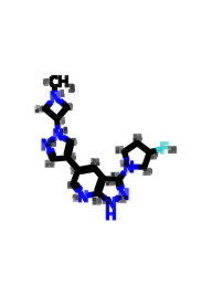 CN1CC(n2cc(-c3cnc4[nH]nc(N5CCC(F)C5)c4c3)cn2)C1